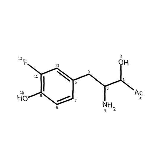 CC(=O)C(O)C(N)Cc1ccc(O)c(F)c1